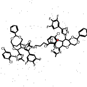 Cc1nc(C2OC3COC(c4ccccc4)OC3C(n3cc(-c4cc(F)c(F)c(F)c4)nn3)C2OC(=O)NCCCCNC(=O)OC2C(c3nc(C)nn3-c3cc(Cl)ccc3Cl)OC3COC(c4ccccc4)OCC2(n2cc(-c4cc(F)c(F)c(F)c4)nn2)C3)n(-c2cc(Cl)ccc2Cl)n1